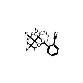 CC(C)(C)C(OCc1ccccc1C#N)(C(F)(F)F)C(F)(F)F